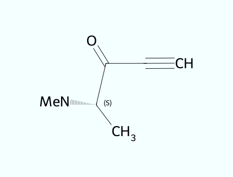 C#CC(=O)[C@H](C)NC